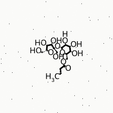 CCCC(=O)OC[C@H]1O[C@H](O[C@]2(CO)O[C@H](CO)[C@@H](O)[C@@H]2O)[C@H](O)[C@@H](O)[C@@H]1O